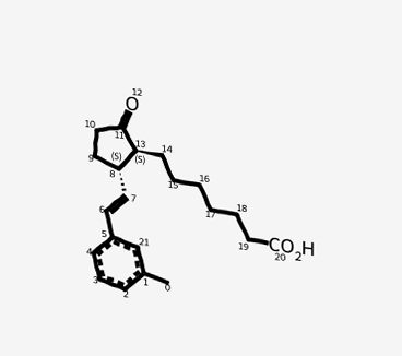 Cc1cccc(C=C[C@@H]2CCC(=O)[C@H]2CCCCCCC(=O)O)c1